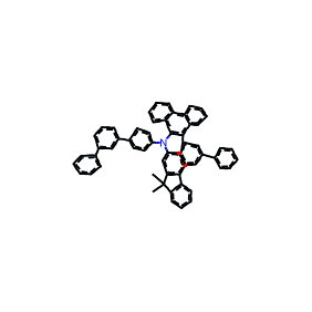 CC1(C)c2ccccc2-c2ccc(N(c3ccc(-c4cccc(-c5ccccc5)c4)cc3)c3c(-c4cccc(-c5ccccc5)c4)c4ccccc4c4ccccc34)cc21